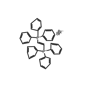 C(=C[P+](c1ccccc1)(c1ccccc1)c1ccccc1)[P+](c1ccccc1)(c1ccccc1)c1ccccc1.[Br-].[Br-]